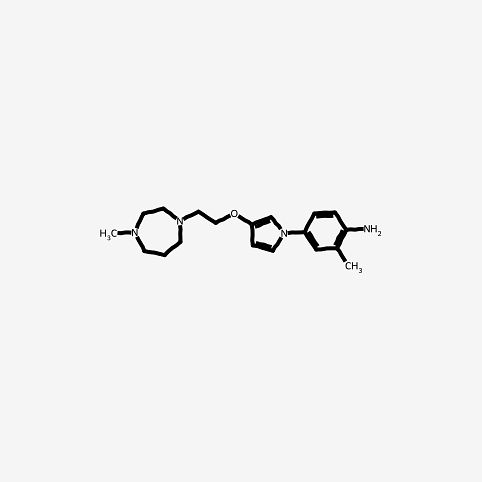 Cc1cc(-n2ccc(OCCN3CCCN(C)CC3)c2)ccc1N